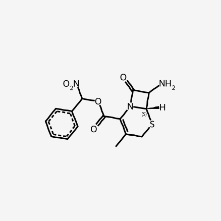 CC1=C(C(=O)OC(c2ccccc2)[N+](=O)[O-])N2C(=O)C(N)[C@@H]2SC1